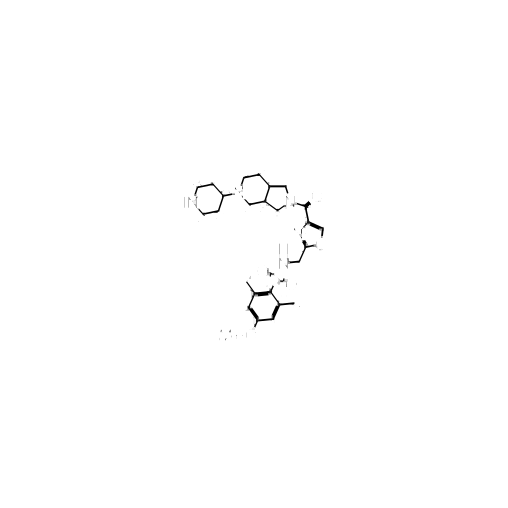 COc1cc(C)c(S(=O)(=O)NCc2nc(C(=O)N3CC4CCN(C5CCNCC5)CC4C3)co2)c(C)c1